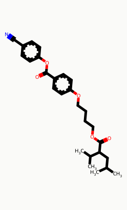 CC(C)CC(C(=O)OCCCCOc1ccc(C(=O)Oc2ccc(C#N)cc2)cc1)C(C)C